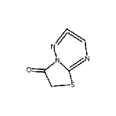 O=C1CSC2=NC=C=NN12